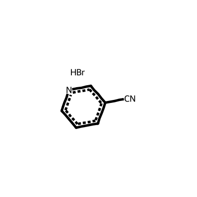 Br.N#Cc1cccnc1